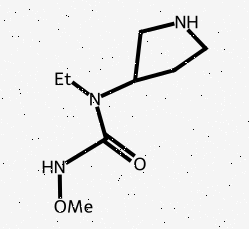 CCN(C(=O)NOC)C1CCNC1